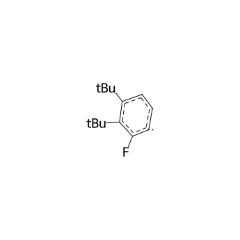 CC(C)(C)c1cc[c]c(F)c1C(C)(C)C